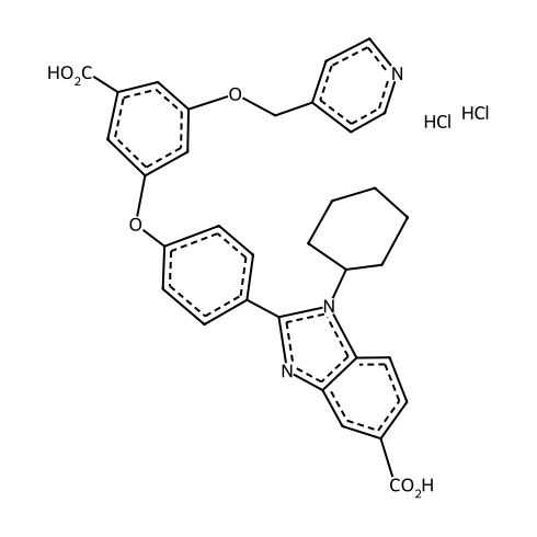 Cl.Cl.O=C(O)c1cc(OCc2ccncc2)cc(Oc2ccc(-c3nc4cc(C(=O)O)ccc4n3C3CCCCC3)cc2)c1